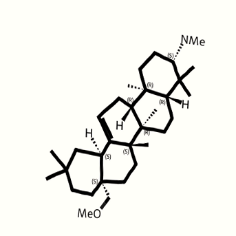 CN[C@H]1CC[C@]2(C)[C@H]3CC=C4[C@@H]5CC(C)(C)CC[C@]5(COC)CC[C@@]4(C)[C@]3(C)CC[C@H]2C1(C)C